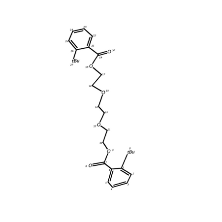 CC(C)(C)c1ccccc1C(=O)OCCOCCOCCOC(=O)c1ccccc1C(C)(C)C